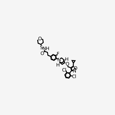 O=C(CCc1ccc(N2C[C@@H]3C[C@H]2C[C@H]3OCc2c(-c3c(Cl)cccc3Cl)noc2C2CC2)c(F)c1)NSC1CCOCC1